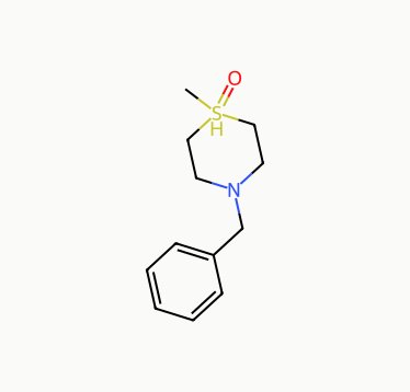 C[SH]1(=O)CCN(Cc2ccccc2)CC1